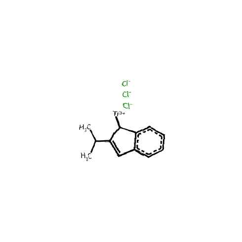 CC(C)C1=Cc2ccccc2[CH]1[Ti+3].[Cl-].[Cl-].[Cl-]